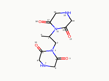 CC(CN1C(=O)CNCC1=O)N1C(=O)CNCC1=O